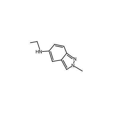 CCNc1ccc2nn(C)cc2c1